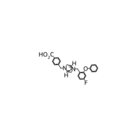 O=C(O)c1ccc(CN2C[C@@H]3C[C@H]2CN3Cc2ccc(F)cc2Oc2ccccc2)cc1